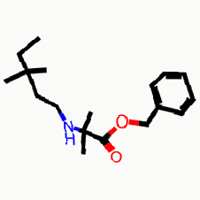 CCC(C)(C)CCNC(C)(C)C(=O)OCc1ccccc1